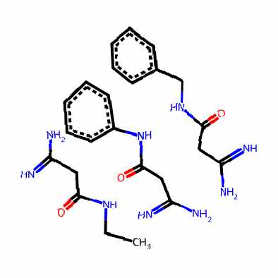 CCNC(=O)CC(=N)N.N=C(N)CC(=O)NCc1ccccc1.N=C(N)CC(=O)Nc1ccccc1